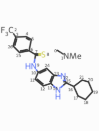 CNC.FC(F)(F)c1ccc(C(=S)Nc2ccc3[nH]c(C4CCCCC4)nc3c2)cc1